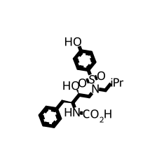 CC(C)CN(C[C@@H](O)[C@H](Cc1ccccc1)NC(=O)O)S(=O)(=O)c1ccc(O)cc1